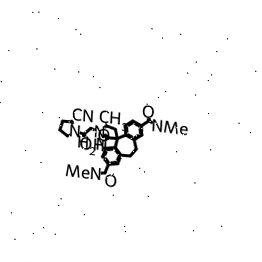 CNC(=O)c1ccc2c(c1)CCc1cc(C(=O)NC)ccc1C2(C[C@@H](C)NCC(=O)N1CCCC1C#N)C(N)=O